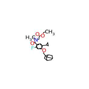 CCOC(=O)CN(C)C(=O)c1cc(C2CC2)c(OCC23CC4CC(CC2C4)C3)cc1F